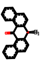 O=C(c1c(CC(F)(F)F)ccc2ccccc12)c1c(CC(F)(F)F)ccc2ccccc12